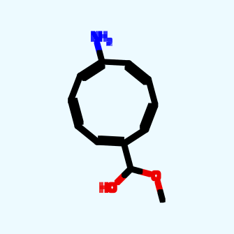 COC(O)c1ccccc(N)cccc1